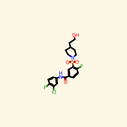 O=C(Nc1ccc(F)c(Cl)c1)c1ccc(F)c(S(=O)(=O)N2CCC(CCO)CC2)c1